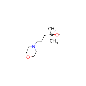 C[Si](C)([O])CCCN1CCOCC1